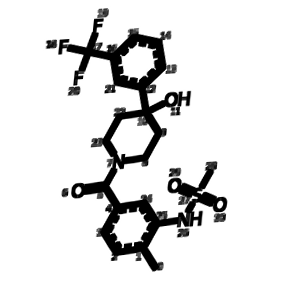 Cc1ccc(C(=O)N2CCC(O)(c3cccc(C(F)(F)F)c3)CC2)cc1NS(C)(=O)=O